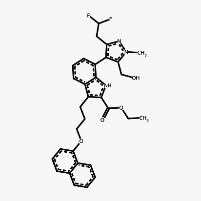 CCOC(=O)c1[nH]c2c(-c3c(CC(F)F)nn(C)c3CO)cccc2c1CCCOc1cccc2ccccc12